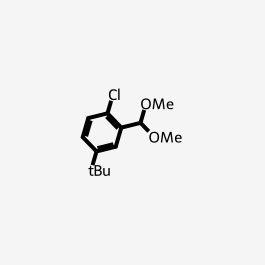 COC(OC)c1cc(C(C)(C)C)ccc1Cl